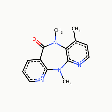 Cc1ccnc2c1N(C)C(=O)c1cccnc1N2C